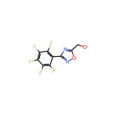 [O]Cc1nc(-c2c(F)c(F)c(F)c(F)c2F)no1